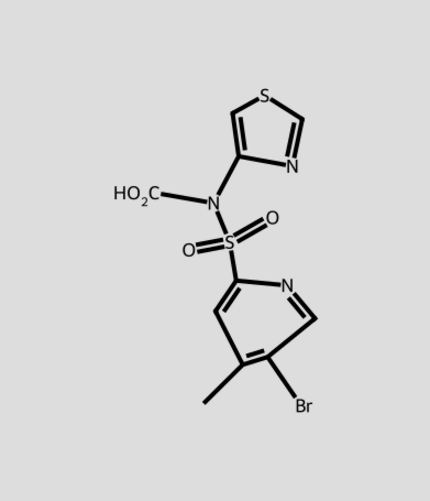 Cc1cc(S(=O)(=O)N(C(=O)O)c2cscn2)ncc1Br